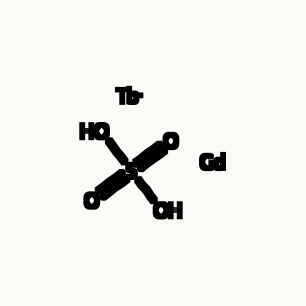 O=S(=O)(O)O.[Gd].[Tb]